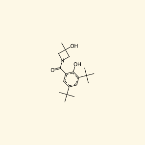 CC1(O)CN(C(=O)c2cc(C(C)(C)C)cc(C(C)(C)C)c2O)C1